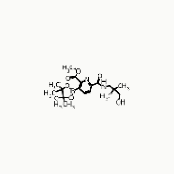 COC(=O)c1nc(C(=O)NCC(C)(C)CO)ccc1B1OC(C)(C)C(C)(C)O1